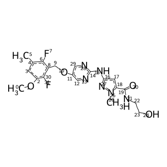 COc1cc(C)c(F)c(COc2cnc(Nc3cc(C(=O)NCCO)n(C)n3)nc2)c1F